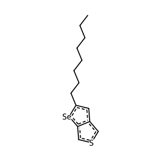 CCCCCCCCc1cc2cscc2[se]1